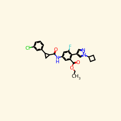 CCOC(=O)c1cc(NC(=O)C2CC2c2cccc(Cl)c2)cc(F)c1-c1cnn(C2CCC2)c1